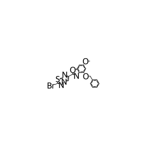 COc1cc(OCc2ccccc2)c2nc(-c3cn4nc(Br)sc4n3)oc2c1